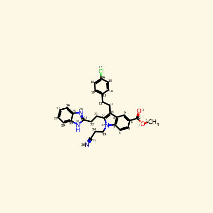 COC(=O)c1ccc2c(c1)c(CCc1ccc(Cl)cc1)c(CCc1nc3ccccc3[nH]1)n2CCC#N